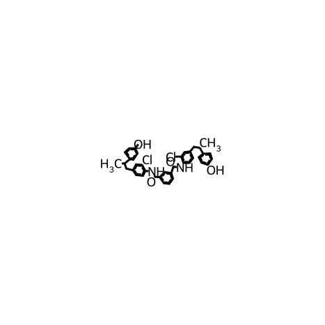 CC(Cc1ccc(NC(=O)c2cccc(C(=O)Nc3ccc(CC(C)c4ccc(O)cc4)cc3Cl)c2)c(Cl)c1)c1ccc(O)cc1